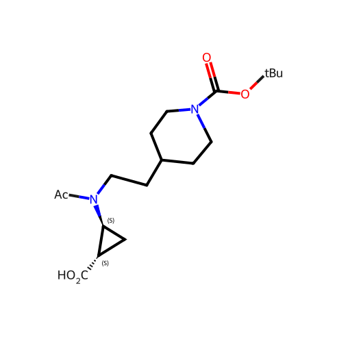 CC(=O)N(CCC1CCN(C(=O)OC(C)(C)C)CC1)[C@H]1C[C@@H]1C(=O)O